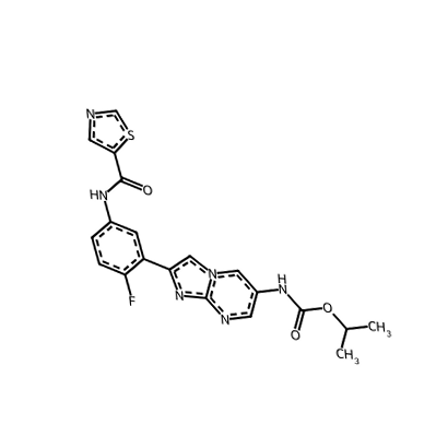 CC(C)OC(=O)Nc1cnc2nc(-c3cc(NC(=O)c4cncs4)ccc3F)cn2c1